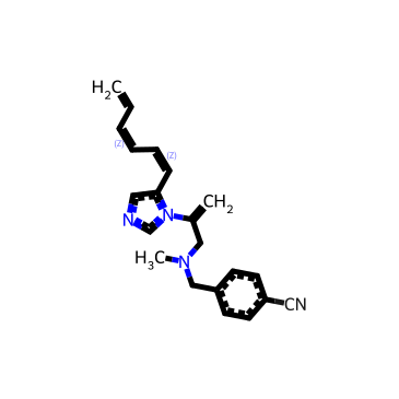 C=C/C=C\C=C/c1cncn1C(=C)CN(C)Cc1ccc(C#N)cc1